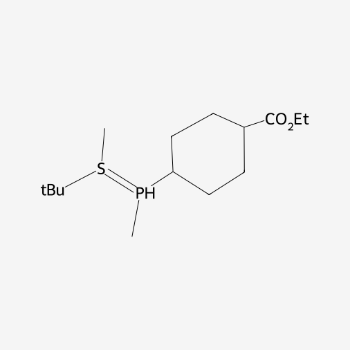 CCOC(=O)C1CCC(/[PH](C)=S(\C)C(C)(C)C)CC1